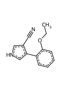 CCOc1ccccc1-c1c[nH]cc1C#N